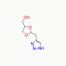 OCC1COC(Cc2c[nH]nn2)O1